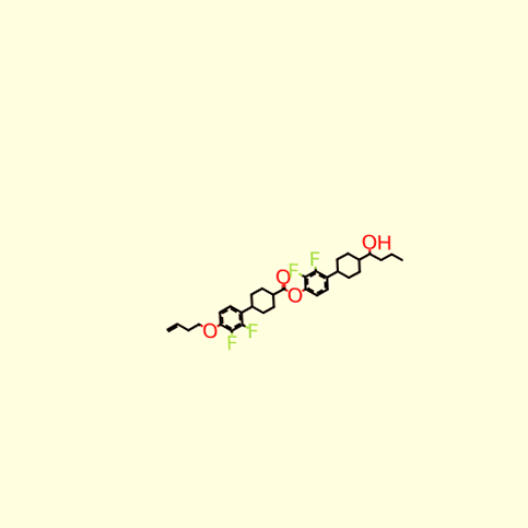 C=CCCOc1ccc(C2CCC(C(=O)Oc3ccc(C4CCC(C(O)CCC)CC4)c(F)c3F)CC2)c(F)c1F